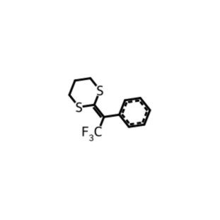 FC(F)(F)C(=C1SCCCS1)c1ccccc1